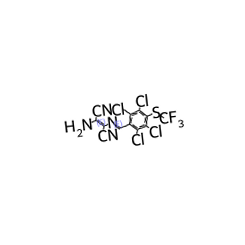 N#C/C(N)=C(C#N)\N=C\c1c(Cl)c(Cl)c(SC(F)(F)F)c(Cl)c1Cl